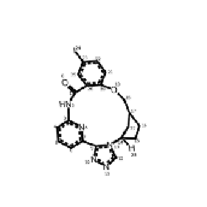 O=C1Nc2cccc(n2)-c2nncn2[C@H]2CCC(COc3ccc(I)cc31)C2